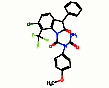 COc1ccc(N(C(N)=O)C(=O)N2C(=O)C(c3cc[c]cc3)c3ccc(Cl)c(C(F)(F)F)c32)cc1